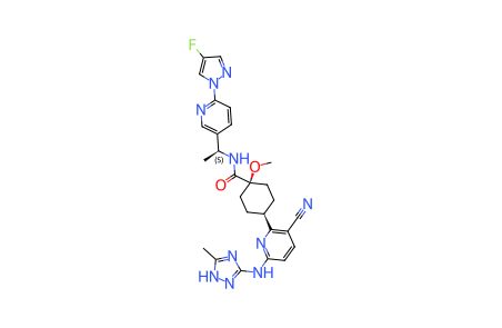 CO[C@]1(C(=O)N[C@@H](C)c2ccc(-n3cc(F)cn3)nc2)CC[C@H](c2nc(Nc3n[nH]c(C)n3)ccc2C#N)CC1